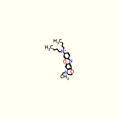 CCCC[N+](CCCC)=c1ccc2nc3cc4c(cc3oc-2c1)N(CC)CCO4